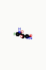 CNC(=O)c1ccc(C2=C/C(=C3\C(=O)Nc4cc(F)ccc43)OC2(C)C)cc1